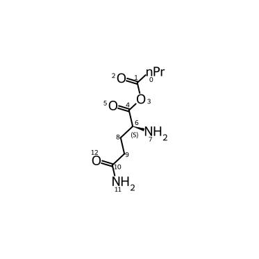 CCCC(=O)OC(=O)[C@@H](N)CCC(N)=O